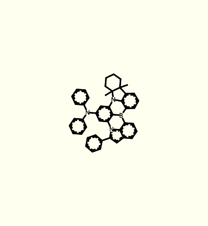 CC12CCCCC1(C)N1c3cc(N(c4ccccc4)c4ccccc4)cc4c3B(c3cccc2c31)c1cccc2cc(-c3ccccc3)n-4c12